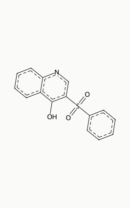 O=S(=O)(c1ccccc1)c1cnc2ccccc2c1O